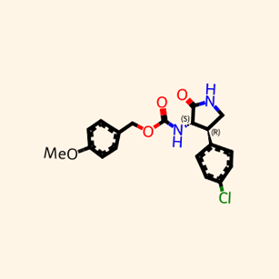 COc1ccc(COC(=O)N[C@@H]2C(=O)NC[C@H]2c2ccc(Cl)cc2)cc1